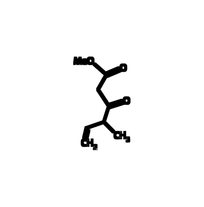 C=CC(C)C(=O)CC(=O)OC